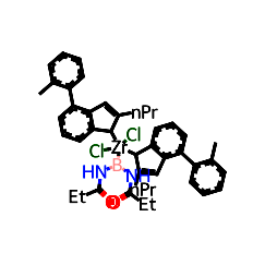 CCCC1=Cc2c(-c3ccccc3C)cccc2[CH]1[Zr]([Cl])([Cl])([B](NC(=O)CC)NC(=O)CC)[CH]1C(CCC)=Cc2c(-c3ccccc3C)cccc21